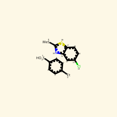 CCc1ccc(S(=O)(=O)O)cc1.CSc1nc2cc(Cl)ccc2s1